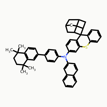 CC1(C)CCC(C)(C)c2cc(-c3ccc(N(c4ccc5c(c4)Sc4ccccc4C54C5CC6CC7CC4C75C6)c4ccc5ccccc5c4)cc3)ccc21